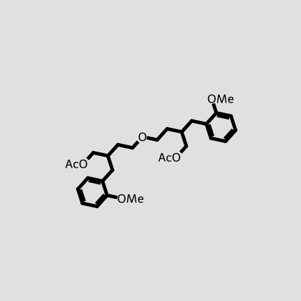 COc1ccccc1CC(CCOCCC(COC(C)=O)Cc1ccccc1OC)COC(C)=O